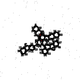 c1ccc2cc(-c3nc(-c4ccc5c(c4)sc4ccccc45)nc(-c4c(-n5c6ccccc6c6cc7ccccc7cc65)c5c6ccccc6oc5c5ccccc45)n3)ccc2c1